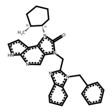 C[C@@H]1CCCC[C@@H]1n1c(=O)n(Cc2nc3ccccc3n2Cc2ccccc2)c2cnc3[nH]ccc3c21